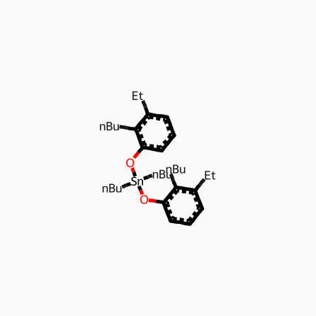 CCCCc1c(CC)cccc1[O][Sn]([CH2]CCC)([CH2]CCC)[O]c1cccc(CC)c1CCCC